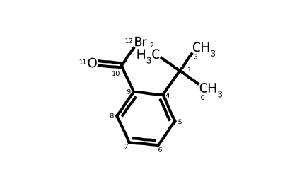 CC(C)(C)c1ccccc1C(=O)Br